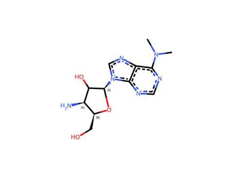 CN(C)c1ncnc2c1ncn2[C@H]1O[C@@H](CO)[C@@H](N)C1O